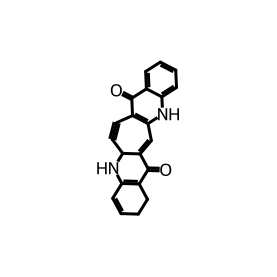 O=C1C2=Cc3[nH]c4ccccc4c(=O)c3C#CC2NC2=C1CCC=C2